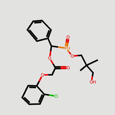 CC(C)(CO)CO[PH](=O)C(OC(=O)COc1ccccc1Cl)c1ccccc1